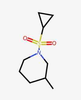 CC1CCCN(S(=O)(=O)C2CC2)C1